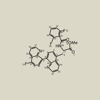 COC(=O)[C@H](Cc1ccc(-c2ccc(F)c3cccnc23)c2ncccc12)NC(=O)c1c(F)cccc1F